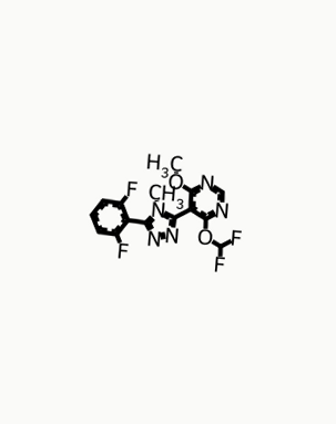 COc1ncnc(OC(F)F)c1-c1nnc(-c2c(F)cccc2F)n1C